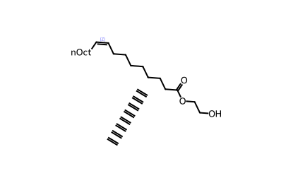 C=C.C=C.C=C.C=C.C=C.C=C.C=C.C=C.CCCCCCCC/C=C\CCCCCCCC(=O)OCCO